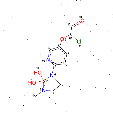 CN1CCN(c2ccc(OC(Cl)C=O)cn2)S1(O)O